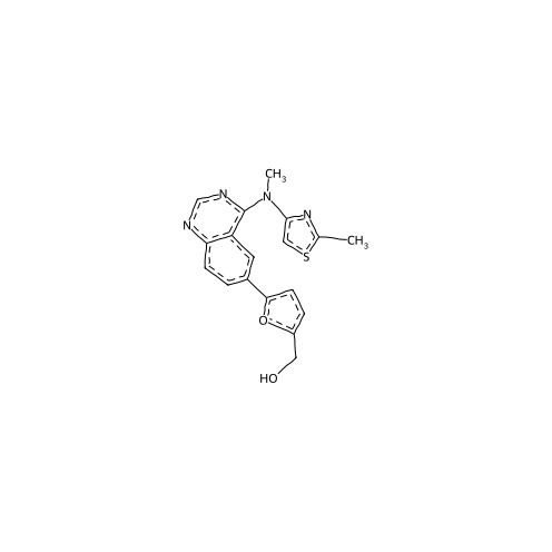 Cc1nc(N(C)c2ncnc3ccc(-c4ccc(CO)o4)cc23)cs1